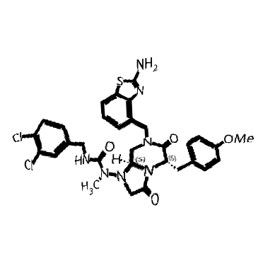 COc1ccc(C[C@H]2C(=O)N(Cc3cccc4sc(N)nc34)C[C@H]3N2C(=O)CN3N(C)C(=O)NCc2ccc(Cl)c(Cl)c2)cc1